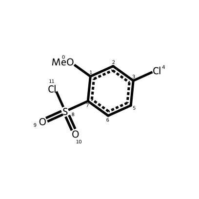 COc1cc(Cl)ccc1S(=O)(=O)Cl